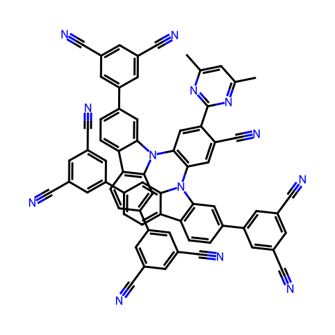 Cc1cc(C)nc(-c2cc(-n3c4cc(-c5cc(C#N)cc(C#N)c5)ccc4c4ccc(-c5cc(C#N)cc(C#N)c5)cc43)c(-n3c4cc(-c5cc(C#N)cc(C#N)c5)ccc4c4ccc(-c5cc(C#N)cc(C#N)c5)cc43)cc2C#N)n1